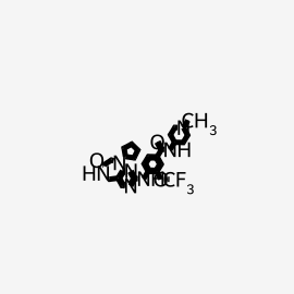 CN1CCC(NC(=O)c2ccc(Nc3ncc4c(n3)N(C3CCCC3)CC(=O)NC4)c(OC(F)(F)F)c2)CC1